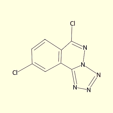 Clc1ccc2c(Cl)nn3nnnc3c2c1